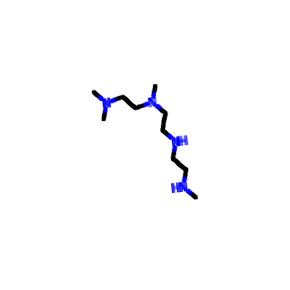 CNCCNCCN(C)CCN(C)C